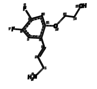 NC/C=C/c1cc(F)c(F)cc1OCCO